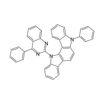 c1ccc(-c2nc(-n3c4ccccc4c4ccc5c(c6ccccc6n5-c5ccccc5)c43)nc3ccccc23)cc1